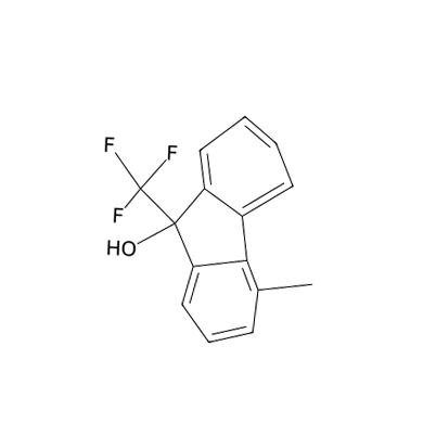 Cc1cccc2c1-c1ccccc1C2(O)C(F)(F)F